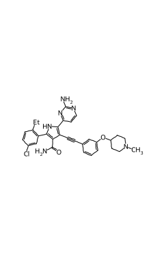 CCc1ccc(Cl)cc1-c1[nH]c(-c2ccnc(N)n2)c(C#Cc2cccc(OC3CCN(C)CC3)c2)c1C(N)=O